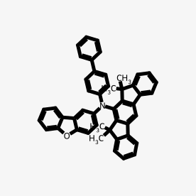 CC1(C)c2ccccc2-c2cc3c(c(N(c4ccc(-c5ccccc5)cc4)c4ccc5oc6ccccc6c5c4)c21)C(C)(C)c1ccccc1-3